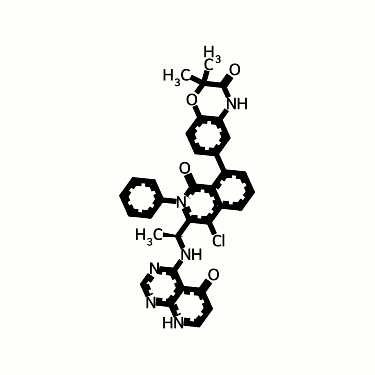 C[C@H](Nc1ncnc2[nH]ccc(=O)c12)c1c(Cl)c2cccc(-c3ccc4c(c3)NC(=O)C(C)(C)O4)c2c(=O)n1-c1ccccc1